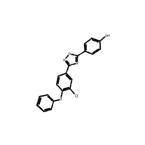 Oc1ccc(-c2nc(-c3ccc(Oc4ccccc4)c(Cl)c3)no2)cc1